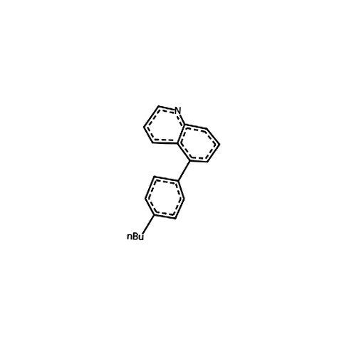 CCCCc1ccc(-c2cccc3ncccc23)cc1